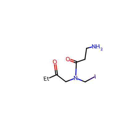 CCC(=O)CN(CI)C(=O)CCN